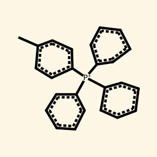 Cc1ccc([P+](c2ccccc2)(c2ccccc2)c2ccccc2)cc1